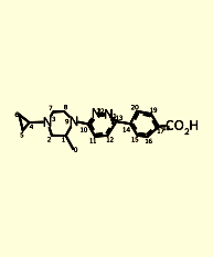 CC1CN(C2CC2)CCN1c1ccc(-c2ccc(C(=O)O)cc2)nn1